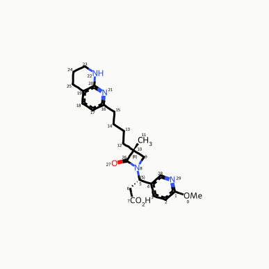 COc1ccc([C@H](CC(=O)O)N2C[C@@](C)(CCCCc3ccc4c(n3)NCCC4)C2=O)cn1